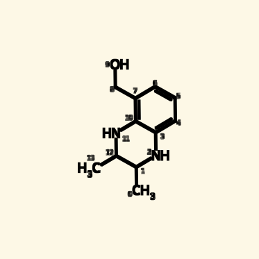 CC1Nc2cccc(CO)c2NC1C